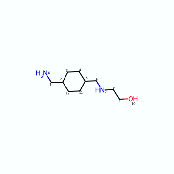 NCC1CCC(CNCCO)CC1